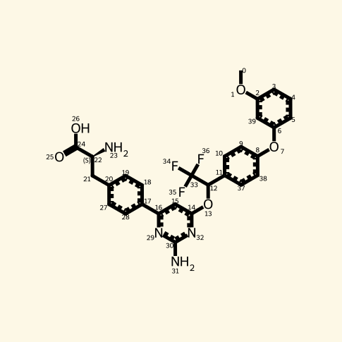 COc1cccc(Oc2ccc(C(Oc3cc(-c4ccc(C[C@H](N)C(=O)O)cc4)nc(N)n3)C(F)(F)F)cc2)c1